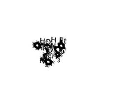 CCc1ccc2c(c1)[C@@H](NC[C@H](O)[C@H](Cc1ccccc1)NC(=O)C(C)Cn1cnc3ccccc31)CC1(CCC1)O2